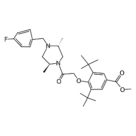 COC(=O)c1cc(C(C)(C)C)c(OCC(=O)N2C[C@@H](C)N(Cc3ccc(F)cc3)C[C@@H]2C)c(C(C)(C)C)c1